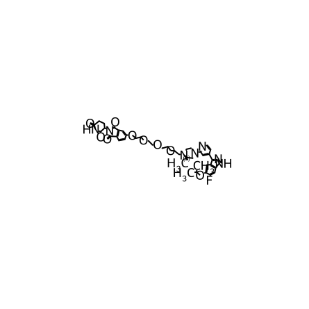 CC(C)Oc1cc2c(-c3ccnc(N4CCN(CCOCCOCCOCCOc5ccc6c(c5)C(=O)N(C5CCC(=O)NC5=O)C6=O)[C@@H](C)C4)c3)n[nH]c2cc1F